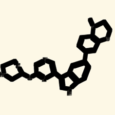 CN1CCOc2cc(-c3ccc4[nH]cc(-c5cncc(OC6CCCNC6)n5)c4c3)ccc21